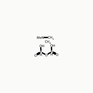 C.CNC.O=[PH](O)O[PH](=O)O